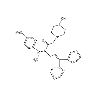 COc1ccc([C@@H](C)N(CC=C(c2ccccc2)c2ccccc2)C(=O)CN2CCC(O)CC2)cc1